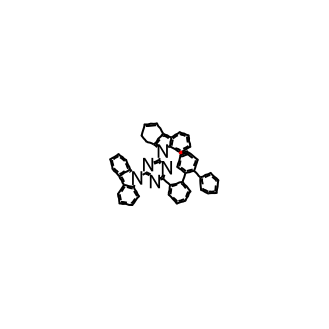 c1cc(-c2ccccc2)c(-c2ccccc2-c2nc(-n3c4c(c5ccccc53)C=CCC4)nc(-n3c4ccccc4c4ccccc43)n2)cc#1